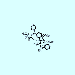 CCOc1ccccc1C(CCOC)C(C)(O)C(CCCCNS(C)(=O)=O)(CCOC)c1cccc(C(=O)N2CCOCC2)c1